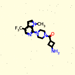 Cn1ccc2c(C(F)(F)F)cnc(N3CCN(C(=O)C4CC(N)C4)CC3)c21